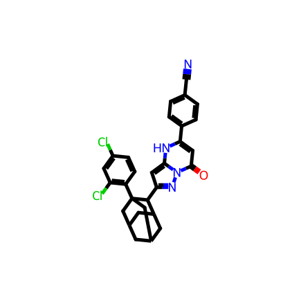 N#Cc1ccc(-c2cc(=O)n3nc(C4C5CC6CC(C5)CC4(c4ccc(Cl)cc4Cl)C6)cc3[nH]2)cc1